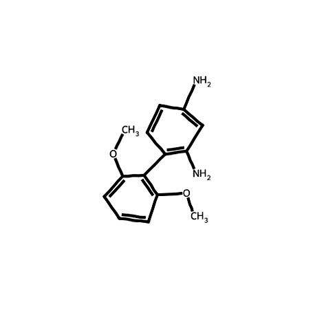 COc1cccc(OC)c1-c1ccc(N)cc1N